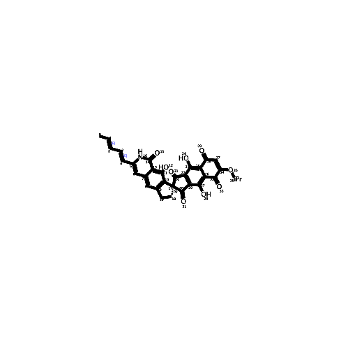 C/C=C/C=C/c1cc2cc3c(c(O)c2c(=O)[nH]1)[C@@]1(CC3)C(=O)c2c(O)c3c(c(O)c2C1=O)C(=O)C(OC(C)C)=CC3=O